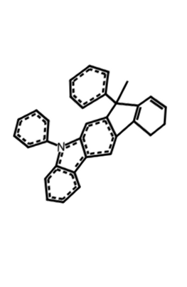 CC1(c2ccccc2)C2=C(CCC=C2)c2cc3c4ccccc4n(-c4ccccc4)c3cc21